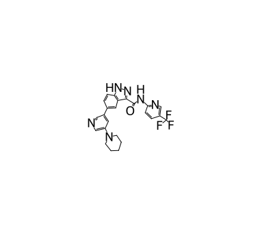 O=C(Nc1ccc(C(F)(F)F)cn1)c1n[nH]c2ccc(-c3cncc(N4CCCCC4)c3)cc12